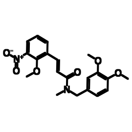 COc1ccc(CN(C)C(=O)C=Cc2cccc([N+](=O)[O-])c2OC)cc1OC